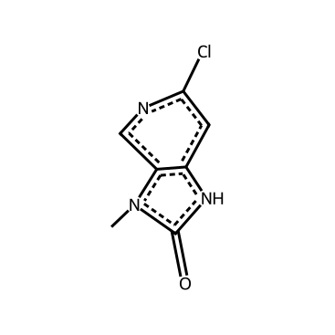 Cn1c(=O)[nH]c2cc(Cl)ncc21